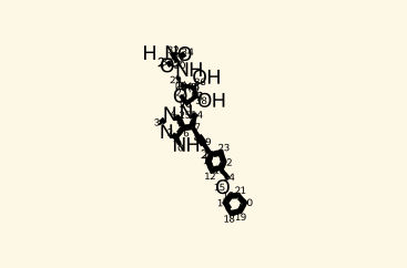 Nc1ncnc2c1c(C#Cc1ccc(COc3ccccc3)cc1)cn2[C@@H]1O[C@H](CNS(N)(=O)=O)[C@@H](O)[C@H]1O